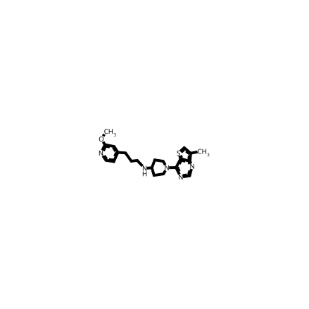 COc1cc(CCCNC2CCN(c3ncnc4c(C)csc34)CC2)ccn1